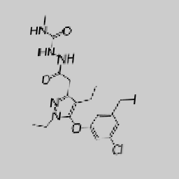 CCc1c(CC(=O)NNC(=O)NC)nn(CC)c1Oc1cc(Cl)cc(CI)c1